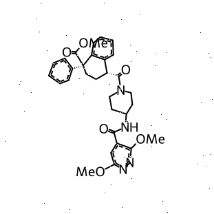 COC(=O)[C@]1(c2ccccc2)CC[C@@H](C(=O)N2CCC(NC(=O)c3cc(OC)nnc3OC)CC2)c2ccccc21